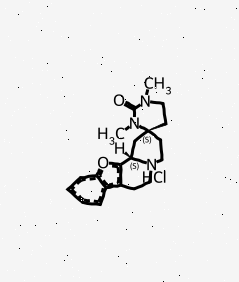 CN1CC[C@]2(CCN3CCc4c(oc5ccccc45)[C@@H]3C2)N(C)C1=O.Cl